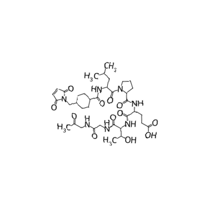 CC(=O)CNC(=O)CNC(=O)C(NC(=O)C(CCC(=O)O)NC(=O)C1CCCN1C(=O)C(CC(C)C)NC(=O)C1CCC(CN2C(=O)C=CC2=O)CC1)C(C)O